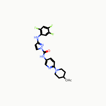 CC(=O)OC1CCN(c2ccc(NC(=O)n3ccc(Nc4cc(F)c(F)cc4F)n3)cn2)CC1